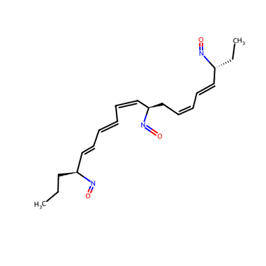 CCC[C@@H](/C=C/C=C/C=C\[C@@H](C/C=C\C=C\[C@@H](CC)N=O)N=O)N=O